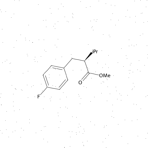 COC(=O)[C@@H](Cc1ccc(F)cc1)C(C)C